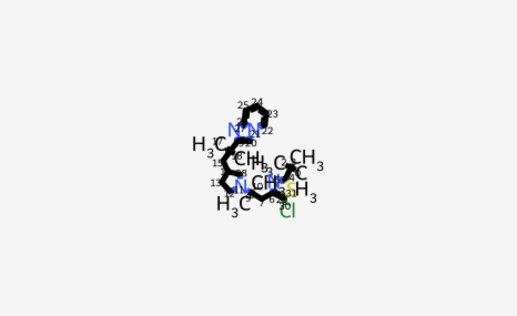 CC(C)(C)c1nc(CC(C)(C)N2CCC(CC(C)(C)c3cn4ccccc4n3)C2)c(Cl)s1